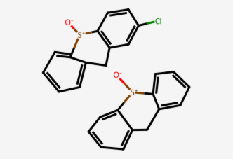 [O-][S+]1c2ccccc2Cc2cc(Cl)ccc21.[O-][S+]1c2ccccc2Cc2ccccc21